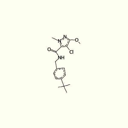 COc1nn(C)c(C(=O)NCc2ccc(C(C)(C)C)cc2)c1Cl